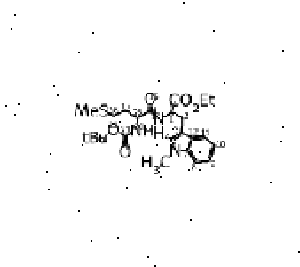 CCOC(=O)C(Cc1cn(C)c2ccccc12)NC(=O)C(CCSC)NC(=O)OC(C)(C)C